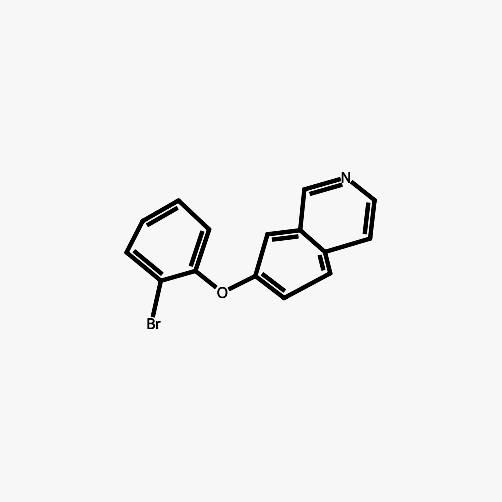 Brc1ccccc1Oc1ccc2ccncc2c1